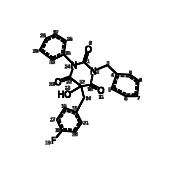 O=C1N(Cc2ccccc2)C(=O)C(O)(Cc2ccc(F)cc2)C(=O)N1c1ccccc1